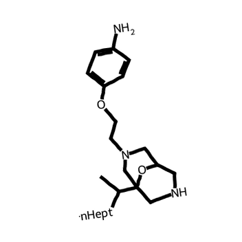 CCCCCC[CH]C(C)C12CNCC(CN(CCOc3ccc(N)cc3)C1)O2